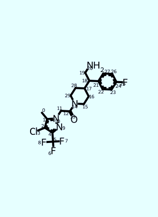 Cc1c(Cl)c(C(F)(F)F)nn1CC(=O)N1CCC(C(CN)c2ccc(F)cc2)CC1